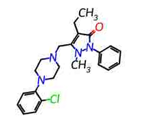 CCc1c(CN2CCN(c3ccccc3Cl)CC2)n(C)n(-c2ccccc2)c1=O